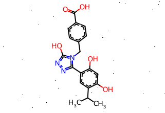 CC(C)c1cc(-c2nnc(O)n2Cc2ccc(C(=O)O)cc2)c(O)cc1O